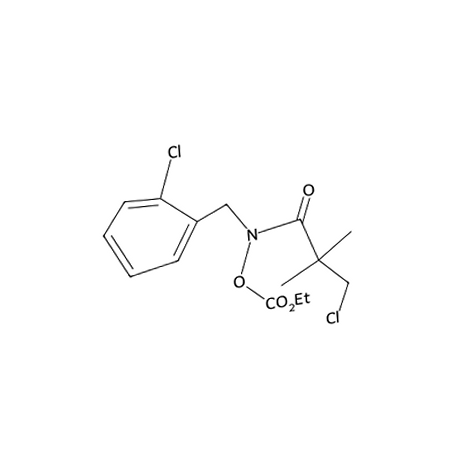 CCOC(=O)ON(Cc1ccccc1Cl)C(=O)C(C)(C)CCl